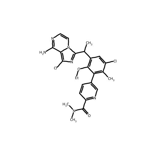 CCOc1c(C(C)c2nc(Cl)c3c(N)nccn23)cc(Cl)c(C)c1-c1ccc(C(=O)N(C)C)nc1